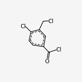 O=C(Cl)c1ccc(Cl)c(CCl)c1